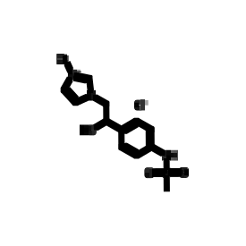 CC[n+]1ccn(CC(O)c2ccc(NS(C)(=O)=O)cc2)c1.[Cl-]